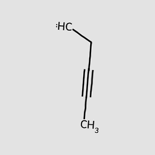 [CH]CC#CC